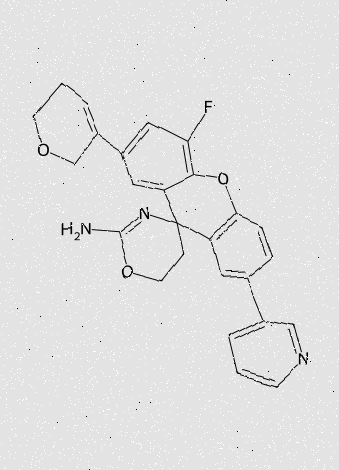 NC1=NC2(CCO1)c1cc(-c3cccnc3)ccc1Oc1c(F)cc(C3=CCCOC3)cc12